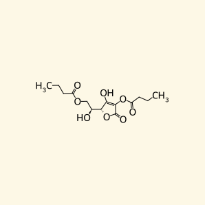 CCCC(=O)OC[C@H](O)[C@H]1OC(=O)C(OC(=O)CCC)=C1O